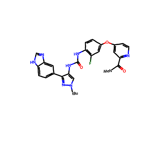 CNC(=O)c1cc(Oc2ccc(NC(=O)Nc3cn(C(C)(C)C)nc3-c3ccc4[nH]cnc4c3)c(F)c2)ccn1